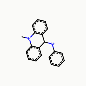 CN1c2ccccc2C(Nc2ccccc2)c2ccccc21